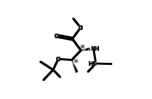 COC(=O)[C@H](N[SiH](C)C)[C@H](C)OC(C)(C)C